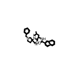 CC(C)CC(NC(=O)c1ccc2ccccc2c1)C(=O)NC1(C#N)CCN(Cc2ccccc2)C1